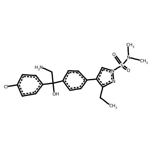 CCc1nn(S(=O)(=O)N(C)C)cc1-c1ccc(C(O)(CN)c2ccc(Cl)cc2)cc1